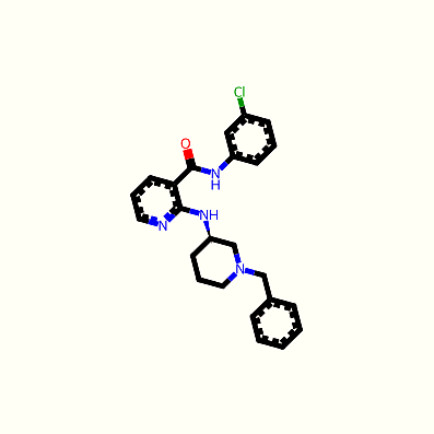 O=C(Nc1cccc(Cl)c1)c1cccnc1N[C@@H]1CCCN(Cc2ccccc2)C1